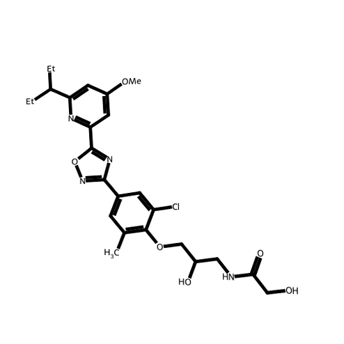 CCC(CC)c1cc(OC)cc(-c2nc(-c3cc(C)c(OCC(O)CNC(=O)CO)c(Cl)c3)no2)n1